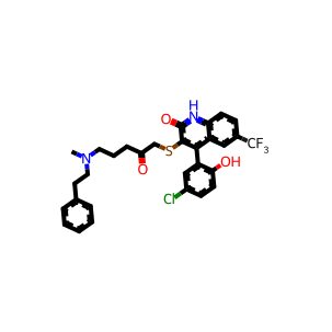 CN(CCCC(=O)CSc1c(-c2cc(Cl)ccc2O)c2cc(C(F)(F)F)ccc2[nH]c1=O)CCc1ccccc1